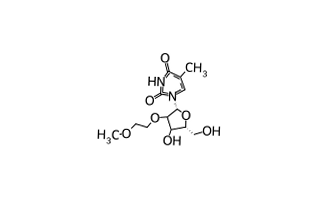 COCCOC1C(O)[C@@H](CO)O[C@H]1n1cc(C)c(=O)[nH]c1=O